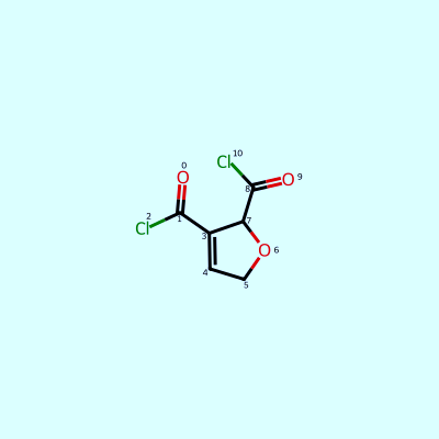 O=C(Cl)C1=CCOC1C(=O)Cl